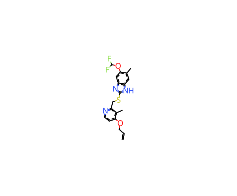 C=CCOc1ccnc(CSc2nc3cc(OC(F)F)c(C)cc3[nH]2)c1C